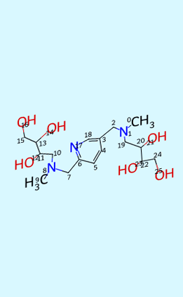 CN(Cc1ccc(CN(C)CC(O)C(O)CO)nc1)CC(O)C(O)CO